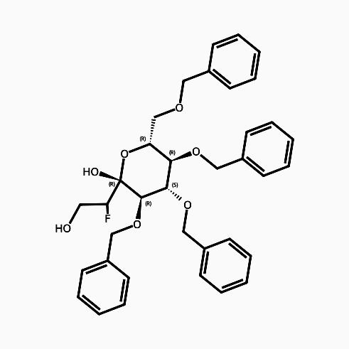 OCC(F)[C@]1(O)O[C@H](COCc2ccccc2)[C@@H](OCc2ccccc2)[C@H](OCc2ccccc2)[C@H]1OCc1ccccc1